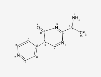 NN(c1ncn(-c2ccncc2)c(=O)n1)C(F)(F)F